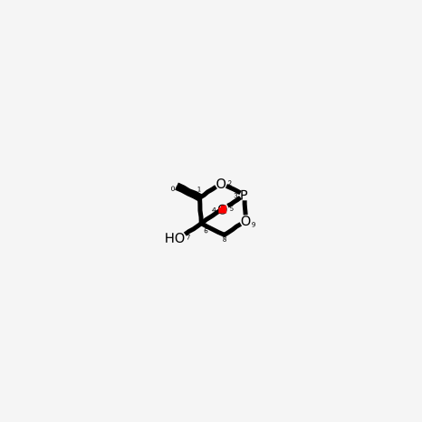 C=C1OP2OCC1(O)CO2